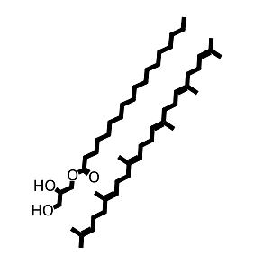 CC(C)=CCC/C(C)=C/CC/C(C)=C/CC/C=C(\C)CC/C=C(\C)CCC=C(C)C.CCCCCCCCCCCCCCCCCC(=O)OCC(O)CO